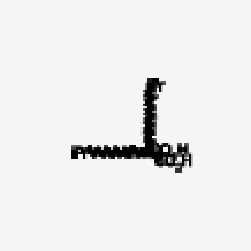 CC(C)CCCCCCCCCCCCCCC(CCCCCCCCCCCCCCC(C)C)(CCC(=O)O)C(=O)O